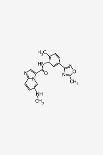 CNc1ccc2ncc(C(=O)Nc3cc(-c4noc(C)n4)ccc3C)n2c1